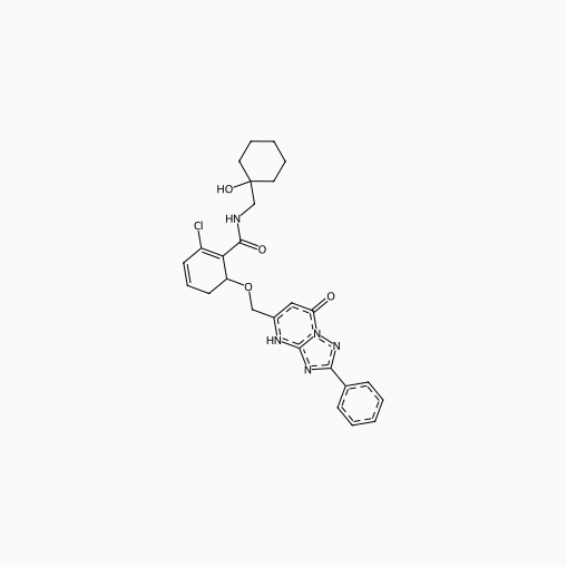 O=C(NCC1(O)CCCCC1)C1=C(Cl)C=CCC1OCc1cc(=O)n2nc(-c3ccccc3)nc2[nH]1